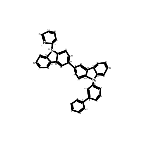 c1ccc(-c2cccc(-n3c4ccccc4c4cc(-c5ccc6c(c5)c5ccccc5n6-c5ccccn5)ccc43)c2)cc1